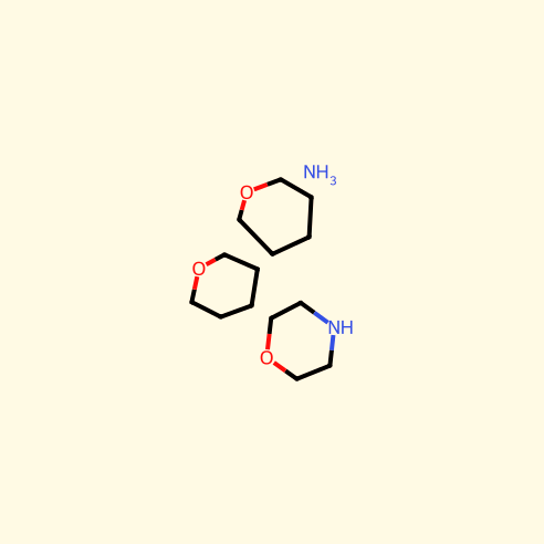 C1CCOCC1.C1CCOCC1.C1COCCN1.N